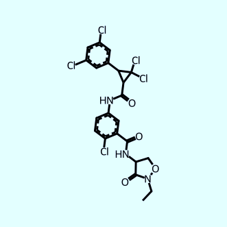 CCN1OCC(NC(=O)c2cc(NC(=O)C3C(c4cc(Cl)cc(Cl)c4)C3(Cl)Cl)ccc2Cl)C1=O